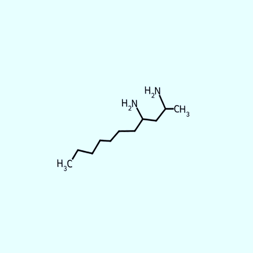 CCCCCCCC(N)CC(C)N